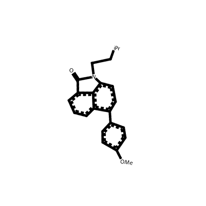 COc1ccc(-c2ccc3c4c(cccc24)C(=O)N3CCC(C)C)cc1